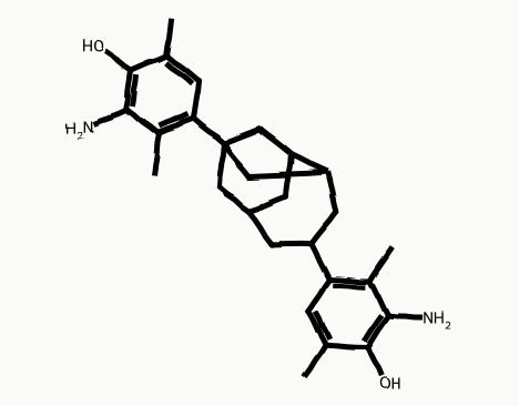 Cc1cc(C2CC3CC4CC(c5cc(C)c(O)c(N)c5C)(C3)CC4C2)c(C)c(N)c1O